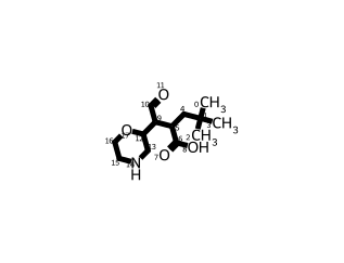 CC(C)(C)CC(C(=O)O)C(C=O)C1CNCCO1